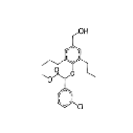 CCCc1cc(CO)cc(CCC)c1OC(C(=O)OC)c1cccc(Cl)c1